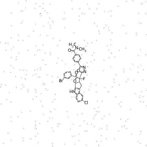 CN(C)C(=O)c1ccc(-c2nnc(C(F)(C3Cc4[nH]c5ccc(Cl)cc5c4C3)S(=O)(=O)c3cccc(Br)c3)o2)cc1